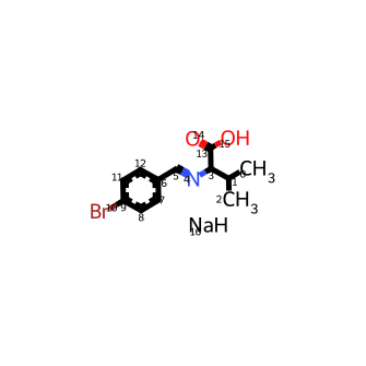 CC(C)C(/N=C/c1ccc(Br)cc1)C(=O)O.[NaH]